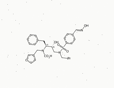 CC(C)CN(C[C@@H](O)[C@H](Cc1ccccc1)N(Cc1ccoc1)C(=O)O)S(=O)(=O)c1ccc(C=NO)cc1